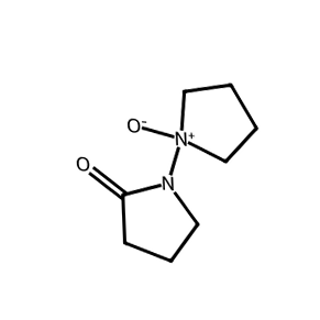 O=C1CCCN1[N+]1([O-])CCCC1